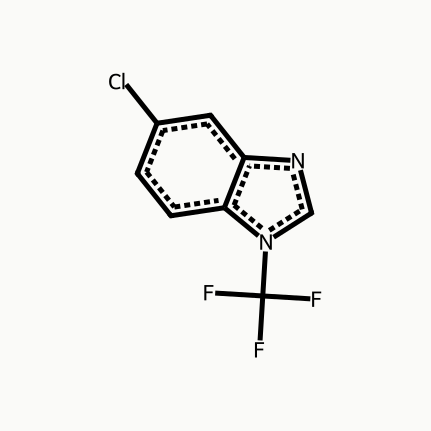 FC(F)(F)n1cnc2cc(Cl)ccc21